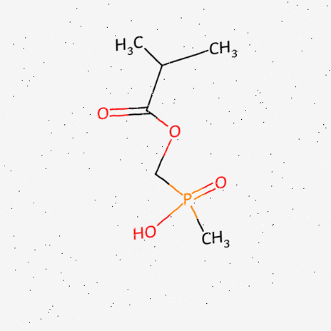 CC(C)C(=O)OCP(C)(=O)O